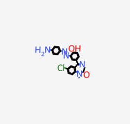 CN1C(=O)CN=C(c2ccc(O)c(/N=N/c3ccc(N)cc3)c2)c2cc(Cl)ccc21